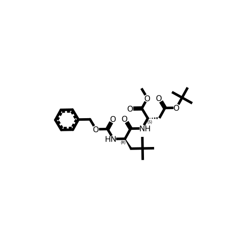 COC(=O)[C@H](CC(=O)OC(C)(C)C)NC(=O)[C@@H](CC(C)(C)C)NC(=O)OCc1ccccc1